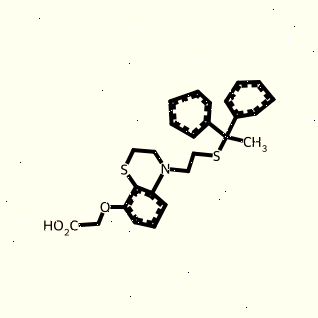 CC(SCCN1CCSc2c(OCC(=O)O)cccc21)(c1ccccc1)c1ccccc1